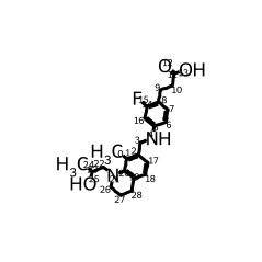 Cc1c(CNc2ccc(CCC(=O)O)c(F)c2)ccc2c1N(CC(C)O)CCC2